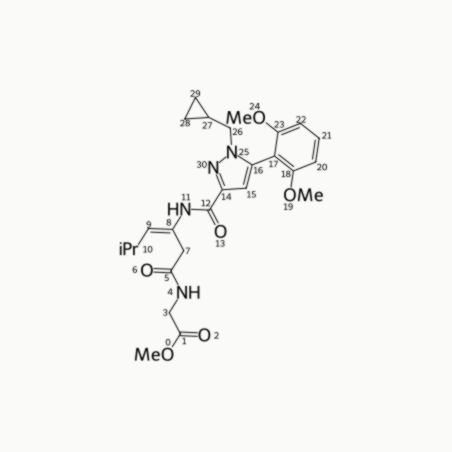 COC(=O)CNC(=O)C/C(=C\C(C)C)NC(=O)c1cc(-c2c(OC)cccc2OC)n(CC2CC2)n1